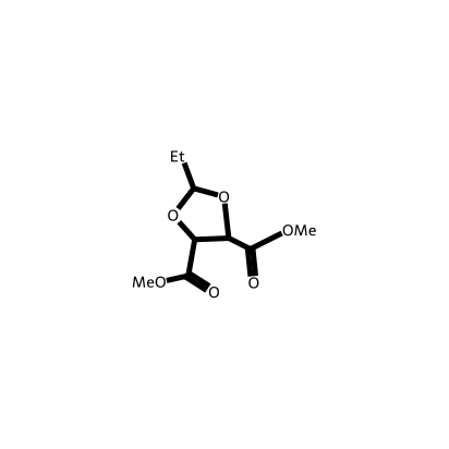 CCC1OC(C(=O)OC)C(C(=O)OC)O1